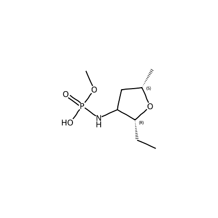 CC[C@H]1O[C@@H](C)CC1NP(=O)(O)OC